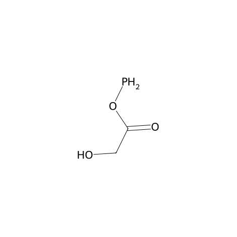 O=C(CO)OP